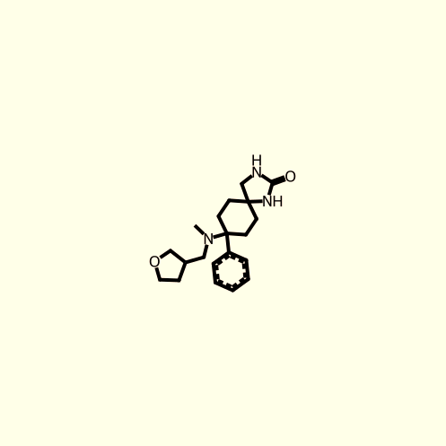 CN(CC1CCOC1)C1(c2ccccc2)CCC2(CC1)CNC(=O)N2